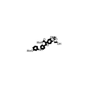 CNC(=O)c1c(-c2ccc(Nc3cccc(OC)c3)cc2)oc2cc(N(CCO)S(C)(=O)=O)c(OC)cc12